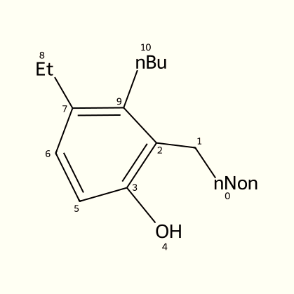 CCCCCCCCCCc1c(O)ccc(CC)c1CCCC